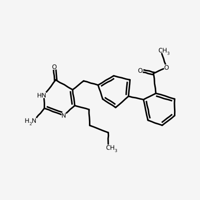 CCCCc1nc(N)[nH]c(=O)c1Cc1ccc(-c2ccccc2C(=O)OC)cc1